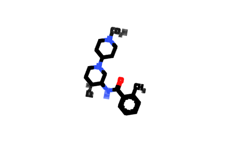 CC[C@@H]1CCN(C2CCN(C(=O)O)CC2)CC1NC(=O)c1ccccc1C